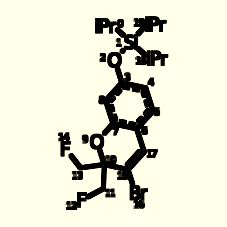 CC(C)[Si](Oc1ccc2c(c1)OC(CF)(CF)C(Br)=C2)(C(C)C)C(C)C